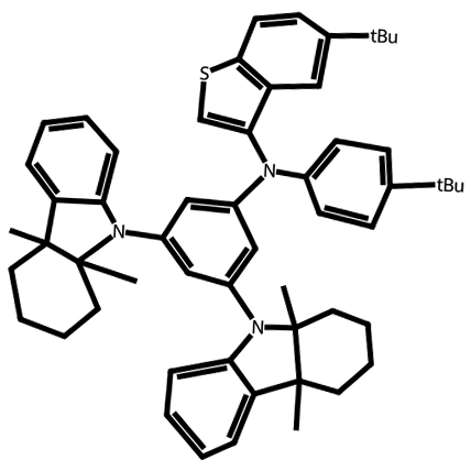 CC(C)(C)c1ccc(N(c2cc(N3c4ccccc4C4(C)CCCCC34C)cc(N3c4ccccc4C4(C)CCCCC34C)c2)c2csc3ccc(C(C)(C)C)cc23)cc1